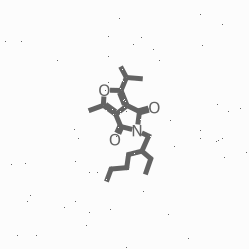 CCCCC(CC)CN1C(=O)c2c(C)oc(C(C)C)c2C1=O